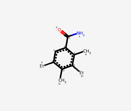 CCc1cc(C(N)=O)c(C)c(CC)c1C